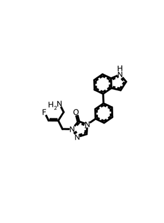 NC/C(=C\F)Cn1ncn(-c2cccc(-c3cccc4[nH]ccc34)c2)c1=O